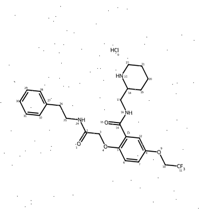 Cl.O=C(COc1ccc(OCC(F)(F)F)cc1C(=O)NCC1CCCCN1)NCCc1ccccc1